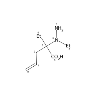 C=CCC(CC)(C(=O)O)N(N)CC